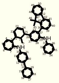 CC1C(c2ccccc2Nc2ccc(-c3ccccc3)cc2)=CC=CC1c1ccc(Nc2ccccc2)c(-c2cccc3c2C(C)(C)c2ccccc2-3)c1